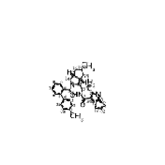 Cc1ccc(-c2ccccc2C(=O)N2C[C@@H]3CC(C)C[C@@H]3[C@H]2CNC(=O)c2c(C)nc3sccn23)cc1